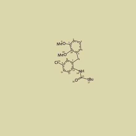 COc1cccc(Cc2cc(Cl)ccc2NC(=O)C(C)(C)C)c1OC